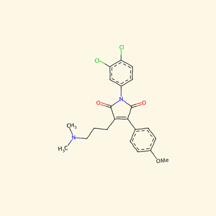 COc1ccc(C2=C(CCCN(C)C)C(=O)N(c3ccc(Cl)c(Cl)c3)C2=O)cc1